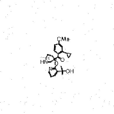 COc1ccc(C(=O)[C@@]2(Oc3ncccc3C(C)(C)O)CC[C@@H](C)NC2)c(C2CC2)c1